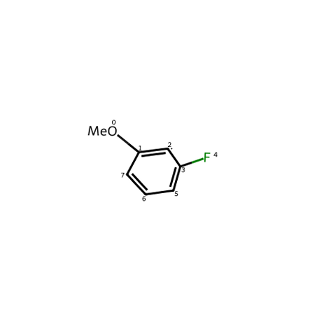 COc1[c]c(F)ccc1